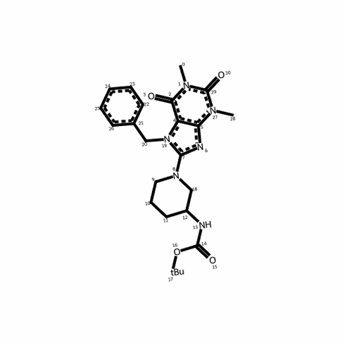 Cn1c(=O)c2c(nc(N3CCCC(NC(=O)OC(C)(C)C)C3)n2Cc2ccccc2)n(C)c1=O